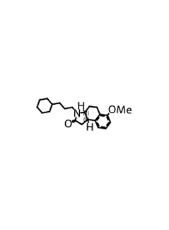 COc1cccc2c1CC[C@@H]1[C@H]2CC(=O)N1CCCC1CCCCC1